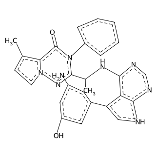 Cc1ccn2nc(C(C)Nc3ncnc4[nH]cc(-c5cc(N)cc(O)c5)c34)n(-c3ccccc3)c(=O)c12